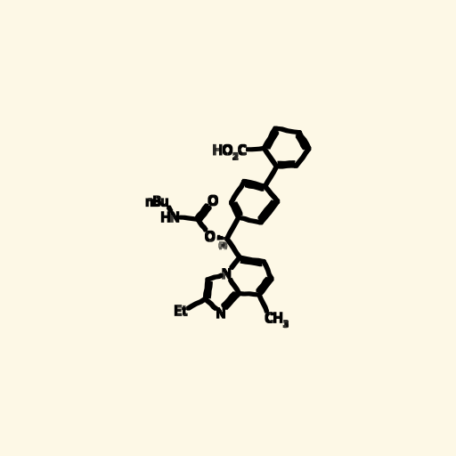 CCCCNC(=O)O[C@H](c1ccc(-c2ccccc2C(=O)O)cc1)c1ccc(C)c2nc(CC)cn12